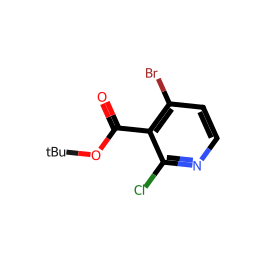 CC(C)(C)OC(=O)c1c(Br)ccnc1Cl